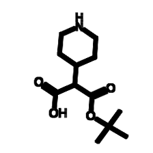 CC(C)(C)OC(=O)C(C(=O)O)C1CCNCC1